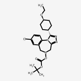 CCO[C@H]1CC[C@H](c2nnc3n2-c2ccc(Cl)cc2CN(OC(=O)OC(C)(C)C)C3)CC1